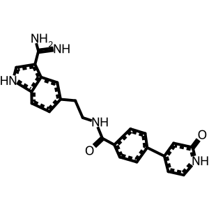 N=C(N)c1c[nH]c2ccc(CCNC(=O)c3ccc(-c4cc[nH]c(=O)c4)cc3)cc12